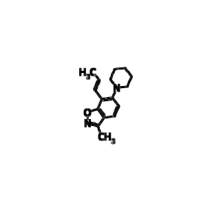 CC=Cc1c(N2CCCCC2)ccc2c(C)noc12